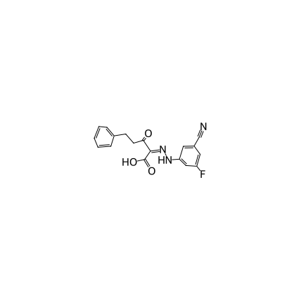 N#Cc1cc(F)cc(NN=C(C(=O)O)C(=O)CCc2ccccc2)c1